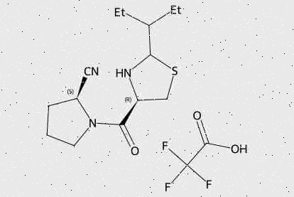 CCC(CC)C1N[C@H](C(=O)N2CCC[C@H]2C#N)CS1.O=C(O)C(F)(F)F